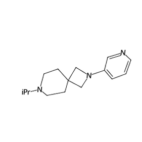 CC(C)N1CCC2(CC1)CN(c1cccnc1)C2